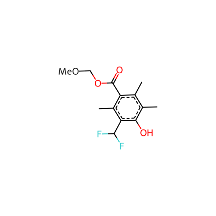 COCOC(=O)c1c(C)c(C)c(O)c(C(F)F)c1C